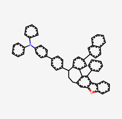 c1ccc(-c2c3c(cc4oc5ccccc5c24)CCC(c2ccc(-c4ccc(N(c5ccccc5)c5ccccc5)cc4)cc2)c2ccc(-c4ccc5ccccc5c4)cc2-3)cc1